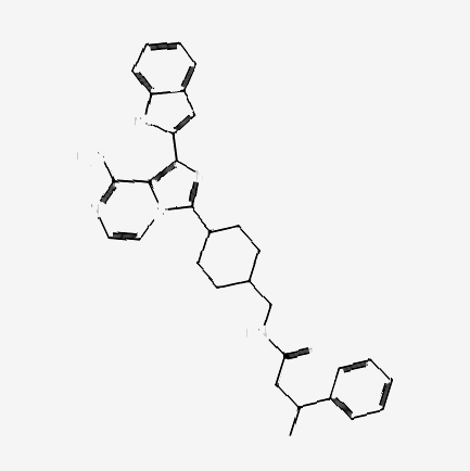 CC(CC(=O)NCC1CCC(c2nc(-c3cc4ccccc4[nH]3)c3c(N)nccn23)CC1)c1ccccc1